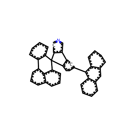 c1ccc2c(c1)-c1cccc3cccc(c13)C21c2ccncc2-c2cc(-c3c4ccccc4cc4ccccc34)ccc21